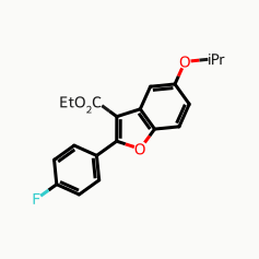 CCOC(=O)c1c(-c2ccc(F)cc2)oc2ccc(OC(C)C)cc12